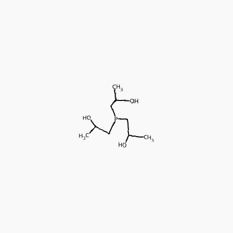 CC(O)CP(CC(C)O)CC(C)O